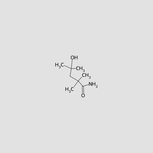 CC(C)(O)CC(C)(C)C(N)=O